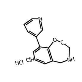 Cl.Cl.c1cncc(-c2cccc3c2OCCNC3)c1